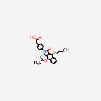 CCCCOc1c2c(c(OC(C)C)c3ccccc13)CN(c1ccc(CC(=O)O)cc1)C2=O